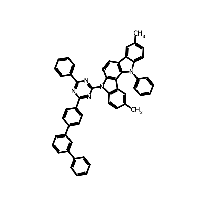 Cc1ccc2c(c1)c1c(ccc3c4cc(C)ccc4n(-c4ccccc4)c31)n2-c1nc(-c2ccccc2)nc(-c2ccc(-c3cccc(-c4ccccc4)c3)cc2)n1